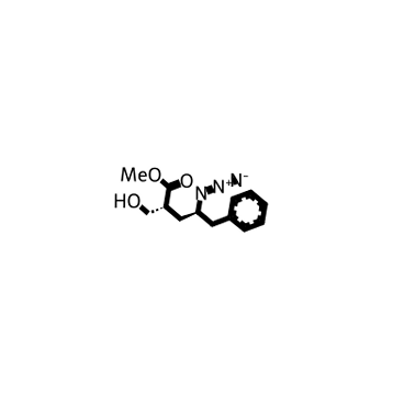 COC(=O)[C@@H](CO)C[C@H](Cc1ccccc1)N=[N+]=[N-]